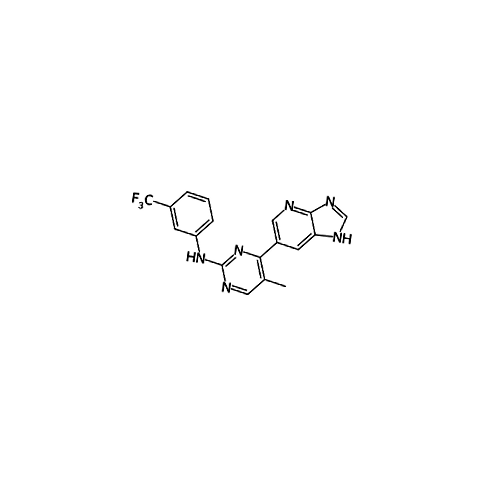 Cc1cnc(Nc2cccc(C(F)(F)F)c2)nc1-c1cnc2nc[nH]c2c1